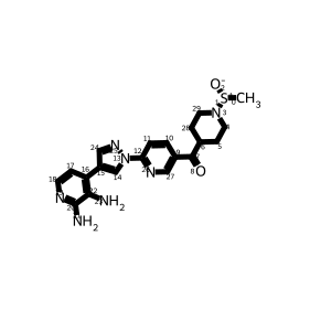 C[S+]([O-])N1CCC(C(=O)c2ccc(-n3cc(-c4ccnc(N)c4N)cn3)nc2)CC1